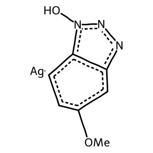 COc1ccc2c(c1)nnn2O.[Ag]